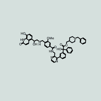 COc1cc(C(=O)NCc2nccnc2-c2cccc(C(O)(C(=O)OCC3CCN(Cc4ccccc4)CC3)c3ccccc3)c2)ccc1CNCC(O)c1ccc(O)c2[nH]c(=O)ccc12